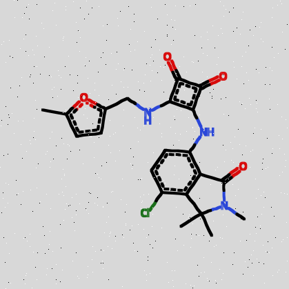 Cc1ccc(CNc2c(Nc3ccc(Cl)c4c3C(=O)N(C)C4(C)C)c(=O)c2=O)o1